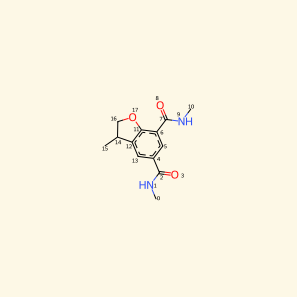 CNC(=O)c1cc(C(=O)NC)c2c(c1)C(C)CO2